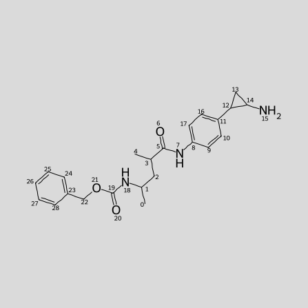 CC(CC(C)C(=O)Nc1ccc(C2CC2N)cc1)NC(=O)OCc1ccccc1